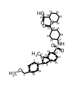 COCc1ccc(-c2cc3ccc(S(=O)(=O)NC4CCC(C(=O)N5CCCCC5C(=O)O)CC4)cc3n2C)cc1